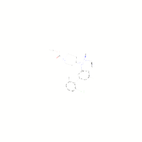 C=N/C=C\c1c(C)cc(-c2c(C)cccc2Cl)cc1NC1CCN(C(=O)OC(C)(C)C)CC1